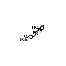 CC(C)(C)OC(=O)N1CCC(Cc2noc(-c3oc4ccncc4c3O)n2)CC1